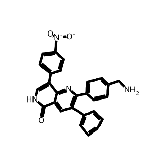 NCc1ccc(-c2nc3c(-c4ccc([N+](=O)[O-])cc4)c[nH]c(=O)c3cc2-c2ccccc2)cc1